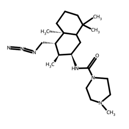 C[C@@H]1[C@H](NC(=O)N2CCN(C)CC2)CC2C(C)(C)CCC[C@]2(C)[C@H]1CN=[N+]=[N-]